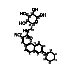 N#CC(=Cc1ccc2cc(N3CCCCC3)ccc2c1)C(=O)NC[C@H]1OC(O)C(O)C(O)C1O